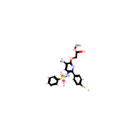 CCCCOC(=O)COc1nc(-c2ccc(F)cc2)c(NS(=O)(=O)c2ccccc2)cc1C#N